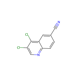 N#Cc1ccc2ncc(Cl)c(Cl)c2c1